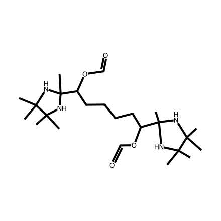 CC1(C(CCCCC(OC=O)C2(C)NC(C)(C)C(C)(C)N2)OC=O)NC(C)(C)C(C)(C)N1